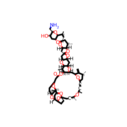 C=C1C2C[C@@H]3O[C@H]4C[C@H]5O[C@@]6(C[C@@H]7O[C@]8(C[C@H](C)C9O[C@H](CN)[C@H](O)CC9O8)C[C@H](C)[C@@H]7O6)C[C@H]5O[C@H]4[C@H](C)[C@H]3OC(=O)CC3CC[C@@H]4O[C@@H]5C[C@@H](O[C@]6(CCC5O6)CC[C@@H](C)O[C@H](C)CCC(C[C@H]1C)O2)[C@H]4O3